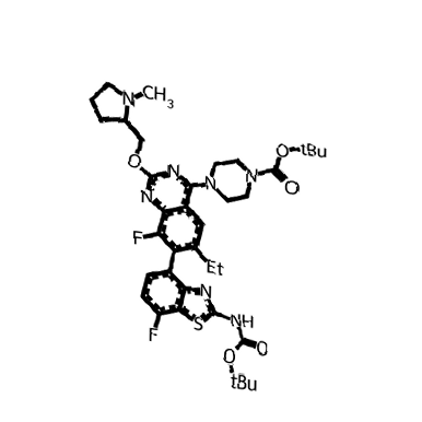 CCc1cc2c(N3CCN(C(=O)OC(C)(C)C)CC3)nc(OCC3CCCN3C)nc2c(F)c1-c1ccc(F)c2sc(NC(=O)OC(C)(C)C)nc12